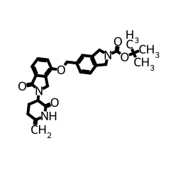 C=C1CCC(N2Cc3c(OCc4ccc5c(c4)CN(C(=O)OC(C)(C)C)C5)cccc3C2=O)C(=O)N1